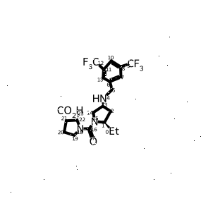 CC[C@@H]1C[C@H](NCc2cc(C(F)(F)F)cc(C(F)(F)F)c2)CN1C(=O)N1CCC[C@@H]1C(=O)O